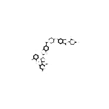 COc1cc(C(=O)N2CCC(Nc3ccc4c(c3)CN(C3CCC(=O)NC3=O)C4=O)CC2)ccc1NC(=O)[C@@H]1N[C@@H](CC(C)(C)C)[C@@]2(CNc3cc(C(F)(F)F)ncc32)[C@H]1c1cccc(Cl)c1F